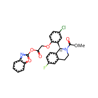 COC(=O)N1CCc2cc(F)ccc2[C@H]1c1cc(Cl)ccc1OCC(=O)Oc1nc2ccccc2o1